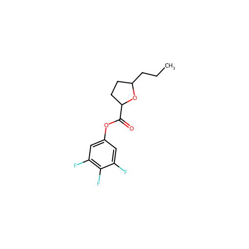 CCCC1CCC(C(=O)Oc2cc(F)c(F)c(F)c2)O1